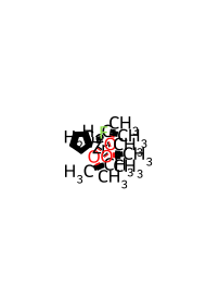 CC(C)(C)[O][Zr]([O]C(C)(C)C)([O]C(C)(C)C)([GeH2][F])[C]1=CC=CC1